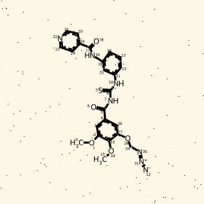 COc1cc(C(=O)NC(=S)Nc2cccc(NC(=O)c3ccncc3)c2)cc(OCN=[N+]=[N-])c1OC